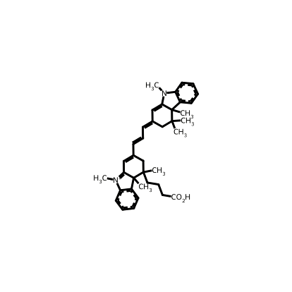 CN1C2=C/C(=C/C=C/C3=CC4=[N+](C)c5ccccc5C4(C)C(C)(CCCC(=O)O)C3)CC(C)(C)C2(C)c2ccccc21